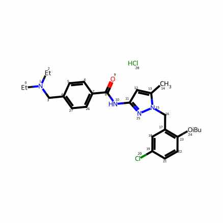 CCN(CC)Cc1ccc(C(=O)Nc2cc(C)n(Cc3cc(Cl)ccc3OCC(C)C)n2)cc1.Cl